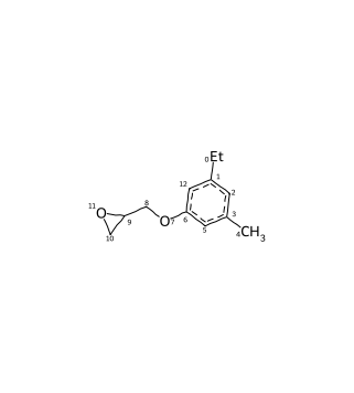 CCc1cc(C)cc(OCC2CO2)c1